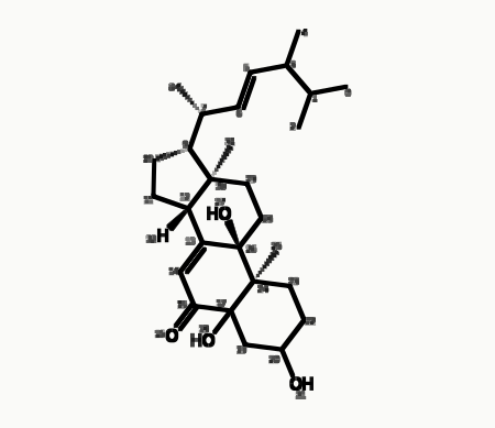 CC(C)C(C)C=C[C@@H](C)[C@H]1CC[C@H]2C3=CC(=O)C4(O)CC(O)CC[C@]4(C)[C@@]3(O)CC[C@]12C